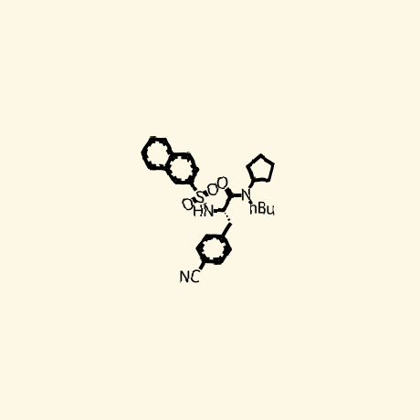 CCCCN(C(=O)[C@H](Cc1ccc(C#N)cc1)NS(=O)(=O)c1ccc2ccccc2c1)C1CCCC1